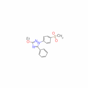 CCOc1nc(-c2ccccc2)n(-c2ccc(S(C)(=O)=O)cc2)n1